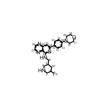 FC1CNCC(CNc2nc(-c3ccc(N4CCOCC4)cc3)cc3nccnc23)C1